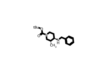 C[C@@H]1CN(C(=O)OC(C)(C)C)CC[C@H]1NCc1ccccc1